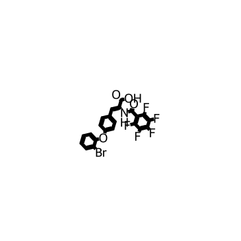 O=C(O)C(=Cc1ccc(Oc2ccccc2Br)cc1)NC(=O)c1c(F)c(F)c(F)c(F)c1F